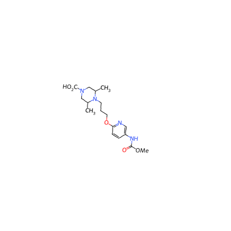 COC(=O)Nc1ccc(OCCCN2C(C)CN(C(=O)O)CC2C)nc1